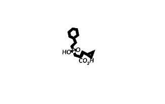 O=C(O)C(=CC1CC1)CP(=O)(O)CCC1CCCCC1